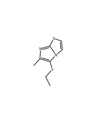 CCSc1c(C)nc2sccn12